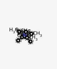 Cc1cc(C)c(B2c3cccc4c3-n3c5c2cc(-c2ccccc2)cc5c2cc(-c5ccccc5)cc(c23)B4c2c(C)cc(C)cc2C)c(C)c1